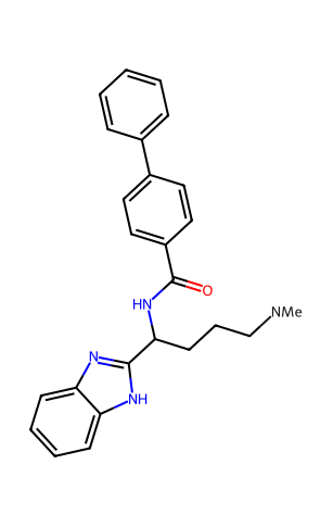 CNCCCC(NC(=O)c1ccc(-c2ccccc2)cc1)c1nc2ccccc2[nH]1